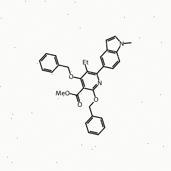 CCc1c(-c2ccc3c(ccn3C)c2)nc(OCc2ccccc2)c(C(=O)OC)c1OCc1ccccc1